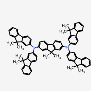 CC1(C)c2ccccc2-c2cc(N(c3ccc4c(c3)C(C)(C)c3ccccc3-4)c3ccc4c(c3)C(C)(C)c3cc(N(c5ccc6c(c5)C(C)(C)c5ccccc5-6)c5ccc6c(c5)C(C)(C)c5ccccc5-6)ccc3-4)ccc21